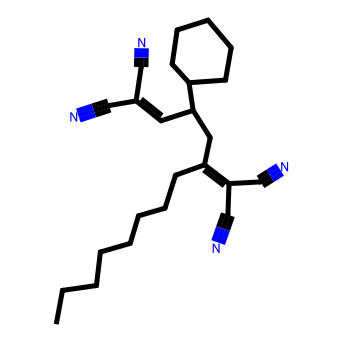 CCCCCCCCC(CC(C=C(C#N)C#N)C1CCCCC1)=C(C#N)C#N